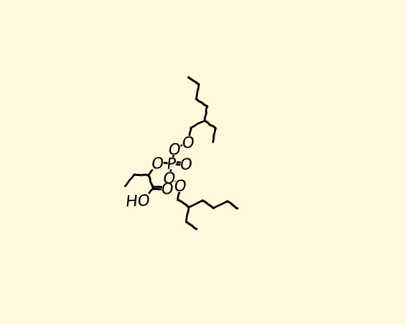 CCCCC(CC)COOP(=O)(OOCC(CC)CCCC)OC(CC)C(=O)O